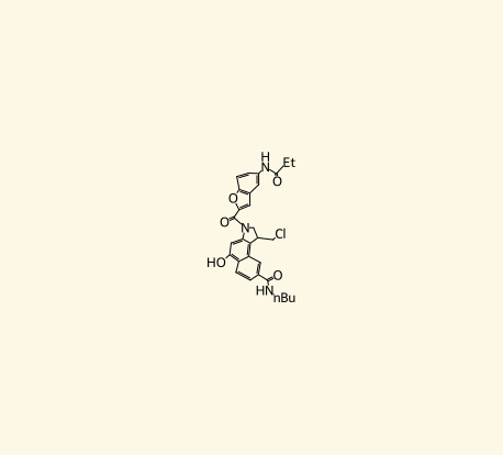 CCCCNC(=O)c1ccc2c(O)cc3c(c2c1)C(CCl)CN3C(=O)c1cc2cc(NC(=O)CC)ccc2o1